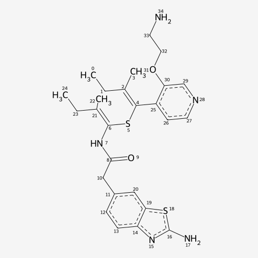 CC/C(C)=C(\S/C(NC(=O)Cc1ccc2nc(N)sc2c1)=C(\C)CC)c1ccncc1OCCN